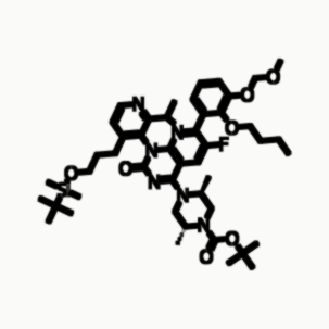 CCCCOc1c(OCOC)cccc1-c1nc2c(cc1F)c(N1C[C@@H](C)N(C(=O)OC(C)(C)C)C[C@@H]1C)nc(=O)n2-c1c(CCCO[Si](C)(C)C(C)(C)C)ccnc1C(C)C